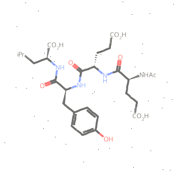 CC(=O)N[C@@H](CCC(=O)O)C(=O)N[C@@H](CCC(=O)O)C(=O)N[C@@H](Cc1ccc(O)cc1)C(=O)N[C@@H](CC(C)C)C(=O)O